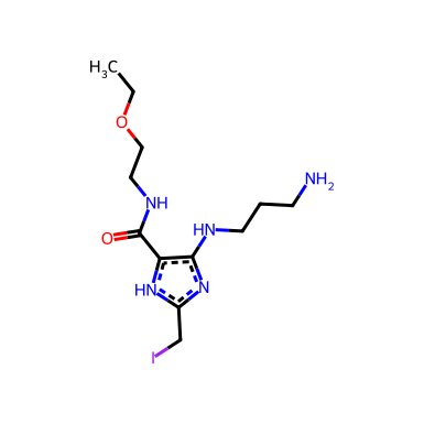 CCOCCNC(=O)c1[nH]c(CI)nc1NCCCN